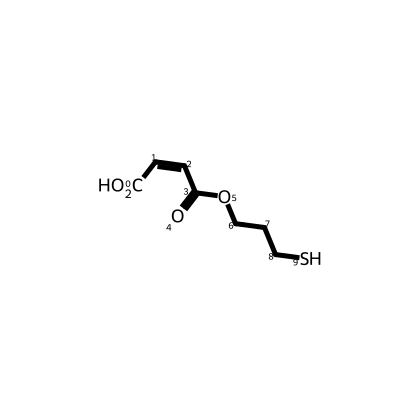 O=C(O)/C=C\C(=O)OCCCS